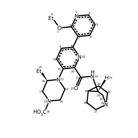 CCOc1ncccc1-c1ccc(N2CCN(C(=O)O)C[C@H]2CC)c(C(=O)N[C@@H]2CN3CCC2CC3)n1